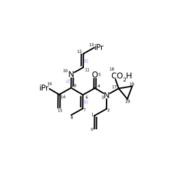 C=CCN(C(=O)C(=C/C)/C(=N\C=C\C(C)C)C(=C)C(C)C)C1(C(=O)O)CC1